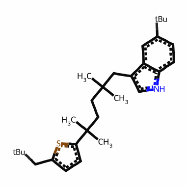 CC(C)(C)Cc1ccc(C(C)(C)CCC(C)(C)Cc2c[nH]c3ccc(C(C)(C)C)cc23)s1